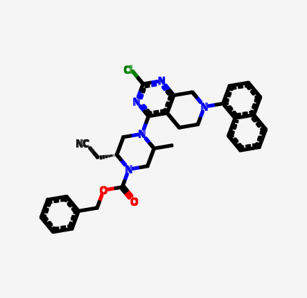 CC1CN(C(=O)OCc2ccccc2)[C@H](CC#N)CN1c1nc(Cl)nc2c1CCN(c1cccc3ccccc13)C2